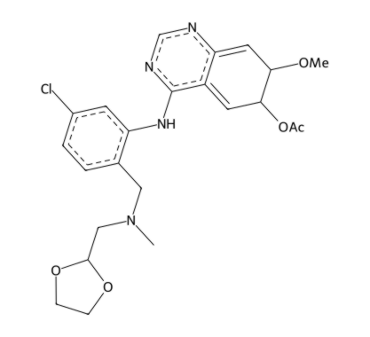 COC1C=c2ncnc(Nc3cc(Cl)ccc3CN(C)CC3OCCO3)c2=CC1OC(C)=O